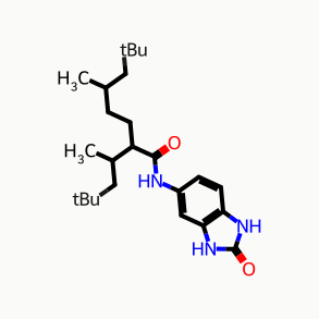 CC(CCC(C(=O)Nc1ccc2[nH]c(=O)[nH]c2c1)C(C)CC(C)(C)C)CC(C)(C)C